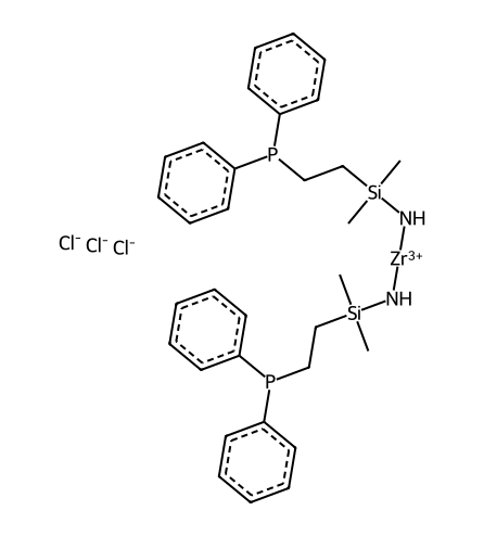 C[Si](C)(CCP(c1ccccc1)c1ccccc1)[NH][Zr+3][NH][Si](C)(C)CCP(c1ccccc1)c1ccccc1.[Cl-].[Cl-].[Cl-]